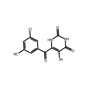 CC(C)c1c(C(=O)c2cc(Cl)cc(C#N)c2)[nH]c(=O)[nH]c1=O